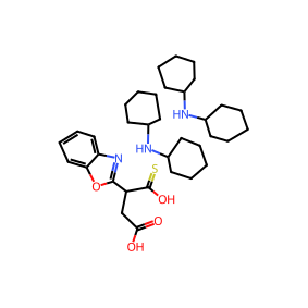 C1CCC(NC2CCCCC2)CC1.C1CCC(NC2CCCCC2)CC1.O=C(O)CC(C(O)=S)c1nc2ccccc2o1